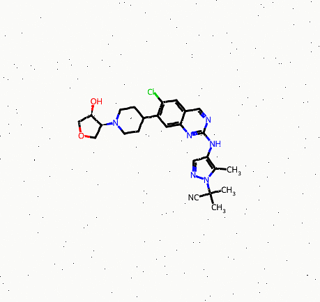 Cc1c(Nc2ncc3cc(Cl)c(C4CCN([C@H]5COC[C@H]5O)CC4)cc3n2)cnn1C(C)(C)C#N